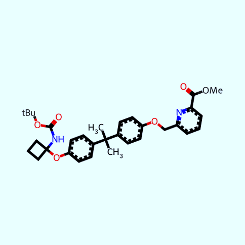 COC(=O)c1cccc(COc2ccc(C(C)(C)c3ccc(OC4(NC(=O)OC(C)(C)C)CCC4)cc3)cc2)n1